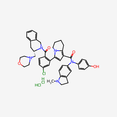 CN1CCc2cc(N(C(=O)c3cc(-c4cc(Cl)ccc4C(=O)N4Cc5ccccc5C[C@H]4CN4CCOCC4)n4c3CCCC4)c3ccc(O)cc3)ccc21.Cl.Cl